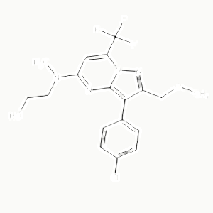 COCc1nn2c(C(F)(F)F)cc(N(C)CCO)nc2c1-c1ccc(Cl)cc1